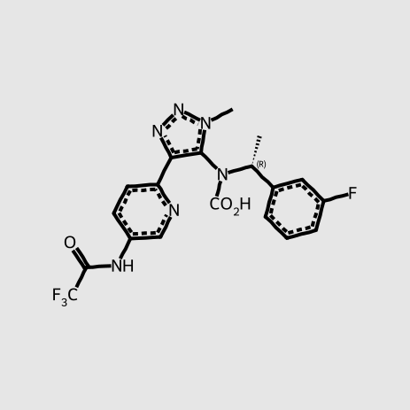 C[C@H](c1cccc(F)c1)N(C(=O)O)c1c(-c2ccc(NC(=O)C(F)(F)F)cn2)nnn1C